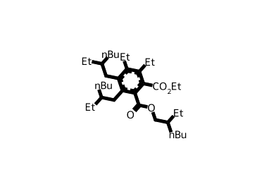 CCCCC(CC)COC(=O)c1c(CC(CC)CCCC)c(CC(CC)CCCC)c(CC)c(CC)c1C(=O)OCC